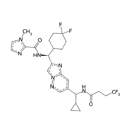 Cn1ccnc1C(=O)N[C@H](c1cn2ncc(C(NC(=O)CCC(F)(F)F)C3CC3)cc2n1)C1CCC(F)(F)CC1